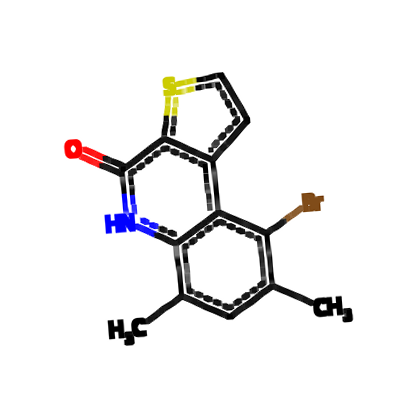 Cc1cc(C)c2[nH]c(=O)c3sccc3c2c1Br